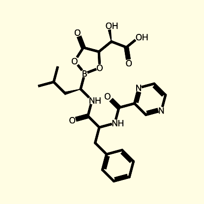 CC(C)C[C@H](NC(=O)C(Cc1ccccc1)NC(=O)c1cnccn1)B1OC(=O)C([C@@H](O)C(=O)O)O1